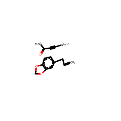 C=CCc1ccc2c(c1)OCO2.CCCCCC#CC(=O)OC